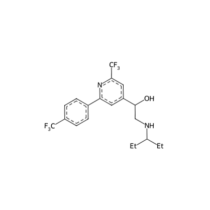 CCC(CC)NCC(O)c1cc(-c2ccc(C(F)(F)F)cc2)nc(C(F)(F)F)c1